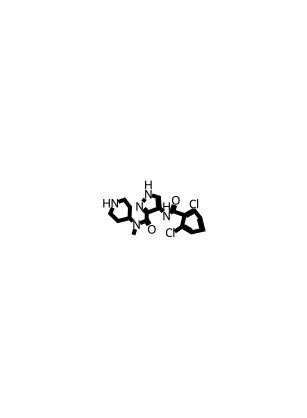 CN(C(=O)c1n[nH]cc1NC(=O)c1c(Cl)cccc1Cl)C1CCNCC1